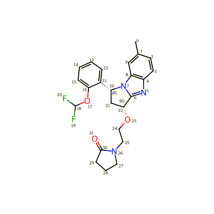 Cc1ccc2nc3n(c2c1)[C@@H](c1ccccc1OC(F)F)C[C@H]3OCCN1CCCC1=O